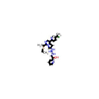 C=C(S/C=C\C)C1=NCC(C(/C=C\CC(C)F)=N/C)=C2CC(NNNCC(O)c3ccccn3)CN12